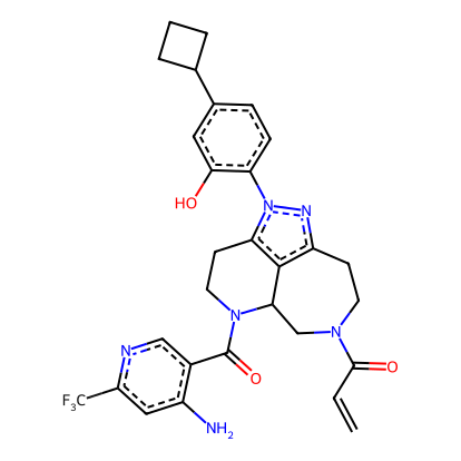 C=CC(=O)N1CCc2nn(-c3ccc(C4CCC4)cc3O)c3c2C(C1)N(C(=O)c1cnc(C(F)(F)F)cc1N)CC3